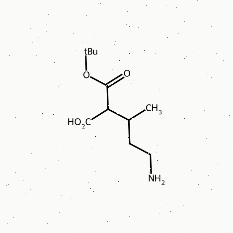 CC(CCN)C(C(=O)O)C(=O)OC(C)(C)C